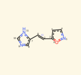 C(=C\c1ccno1)/c1cnc[nH]1